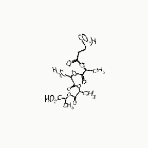 CC(OC(=O)C(C)OC(=O)C(C)OC(=O)C(C)OC(=O)CCC(=O)O)C(=O)O